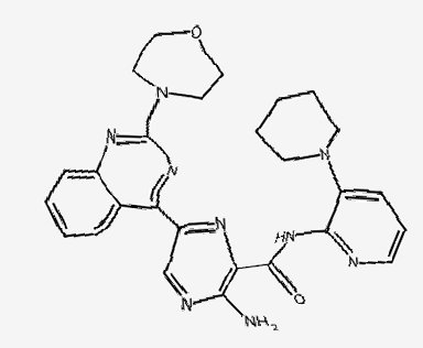 Nc1ncc(-c2nc(N3CCOCC3)nc3ccccc23)nc1C(=O)Nc1ncccc1N1CCCCC1